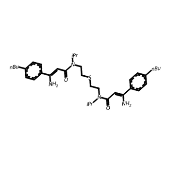 CCCCc1ccc(C(N)=CC(=O)N(CCSCCN(C(=O)C=C(N)c2ccc(CCCC)cc2)C(C)C)C(C)C)cc1